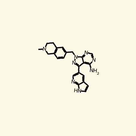 CN1CCc2cc(Cn3nc(-c4cnc5[nH]ccc5c4)c4c(N)ncnc43)ccc2C1